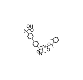 Cc1ccccc1C(C)OC(=O)Nc1c(C)noc1-c1ccc(-c2ccc(C3(C(=O)O)CC3)cc2)cc1